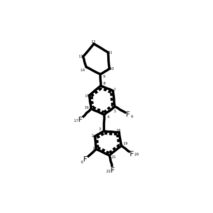 Fc1cc(-c2c(F)cc(C3CCCCC3)cc2F)cc(F)c1F